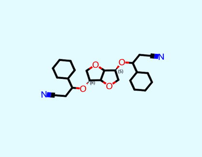 N#CCC(O[C@H]1COC2C1OC[C@H]2OC(CC#N)C1CCCCC1)C1CCCCC1